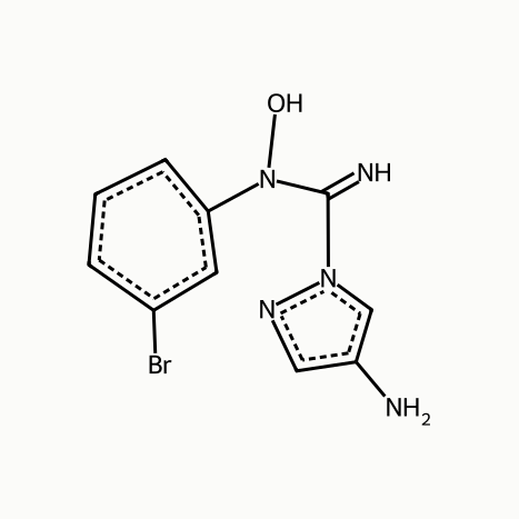 N=C(N(O)c1cccc(Br)c1)n1cc(N)cn1